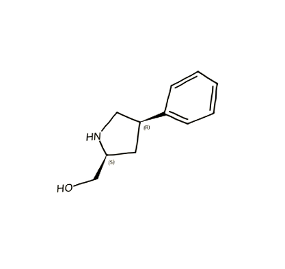 OC[C@@H]1C[C@H](c2ccccc2)CN1